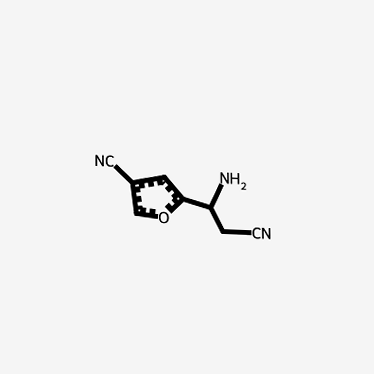 N#CCC(N)c1cc(C#N)co1